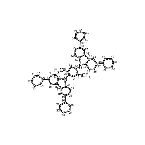 FC(F)(F)c1cc(-n2c3ccc(-c4ccccc4)cc3c3cc(-c4ccccc4)ccc32)c(C(F)(F)F)cc1-n1c2ccc(-c3ccccc3)cc2c2cc(-c3ccccc3)ccc21